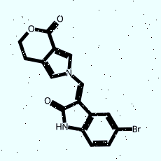 O=C1Nc2ccc(Br)cc2C1=Cn1cc2c(c1)C(=O)OCC2